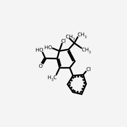 CC1=C(C(=O)O)C(O)(Cl)C(C(C)(C)C)=CC1c1ccccc1Cl